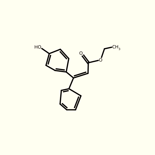 CCOC(=O)C=C(c1ccccc1)c1ccc(O)cc1